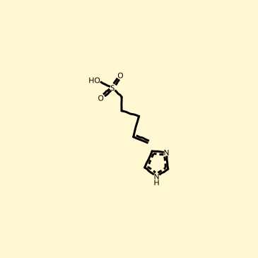 C=CCCCS(=O)(=O)O.c1c[nH]cn1